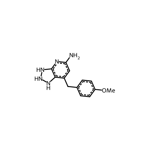 COc1ccc(Cc2cc(N)nc3c2NNN3)cc1